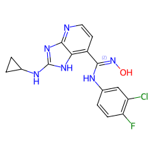 O/N=C(\Nc1ccc(F)c(Cl)c1)c1ccnc2nc(NC3CC3)[nH]c12